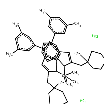 CCCC1(CC2=Cc3c(-c4cc(C)cc(C)c4)cccc3[CH]2[Zr]([CH3])([CH3])(=[SiH2])[CH]2C(CC3(CCC)CCCCC3)=Cc3c(-c4cc(C)cc(C)c4)cccc32)CCCCC1.Cl.Cl